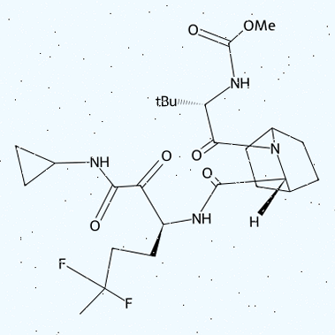 COC(=O)N[C@H](C(=O)N1C2CCC(CC2)[C@@H]1C(=O)N[C@@H](CCC(C)(F)F)C(=O)C(=O)NC1CC1)C(C)(C)C